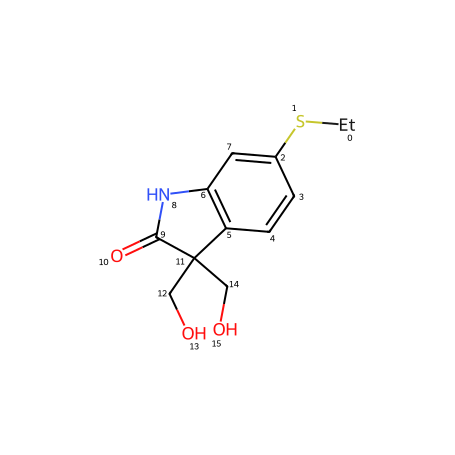 CCSc1ccc2c(c1)NC(=O)C2(CO)CO